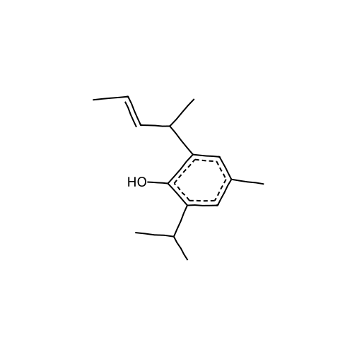 C/C=C/C(C)c1cc(C)cc(C(C)C)c1O